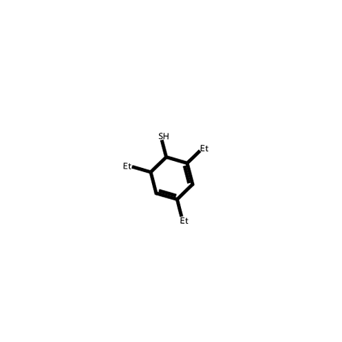 CCC1=CC(CC)C(S)C(CC)=C1